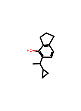 CC(c1ccc2c(c1O)CCC2)C1CC1